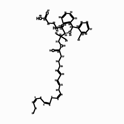 CC/C=C\C/C=C\C/C=C\C/C=C/C=C/CCCC(=O)OCC(C)(C)[C@@H](OC(c1ccccc1)c1ccccc1C)C(=O)NCCC(=O)O